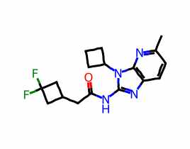 Cc1ccc2nc(NC(=O)CC3CC(F)(F)C3)n(C3CCC3)c2n1